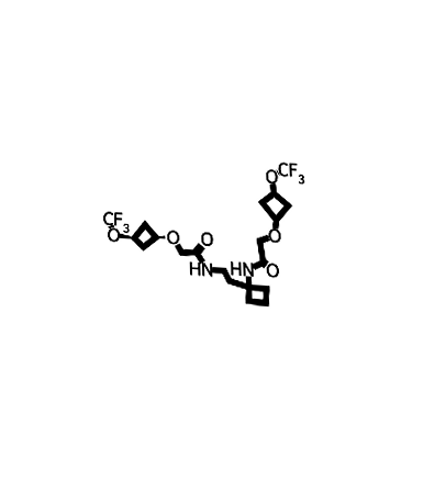 O=C(CO[C@H]1C[C@H](OC(F)(F)F)C1)NCCC1(NC(=O)COC2CC(OC(F)(F)F)C2)CCC1